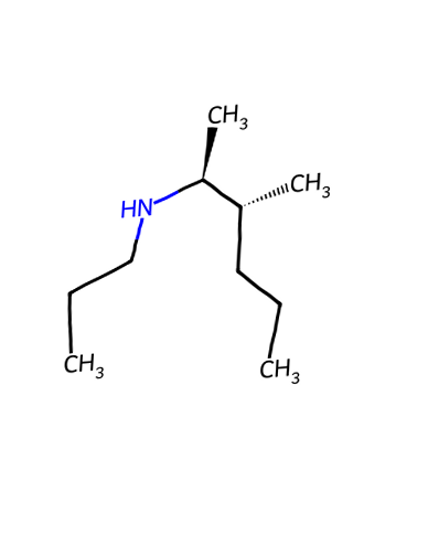 CCCN[C@@H](C)[C@H](C)CCC